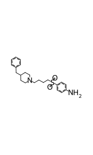 Nc1ccc(S(=O)(=O)CCCCN2CCC(Cc3ccccc3)CC2)cc1